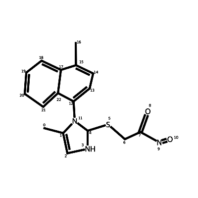 CC1=CNC(SCC(=O)N=O)N1c1ccc(C)c2ccccc12